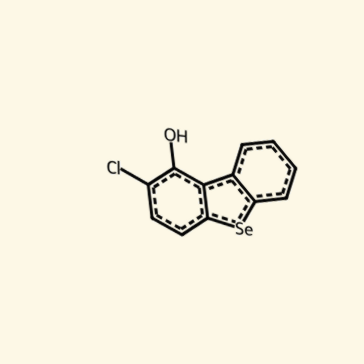 Oc1c(Cl)ccc2[se]c3ccccc3c12